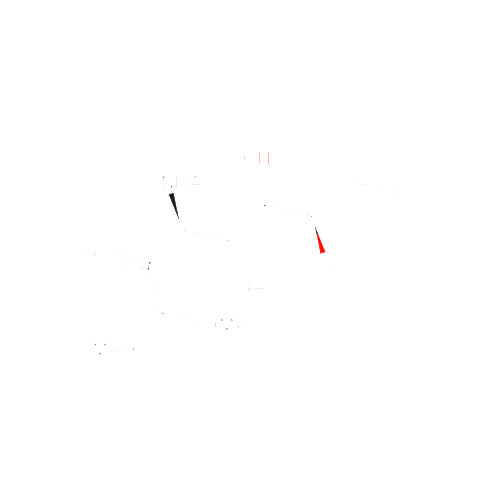 COC(OC)C(=O)[C@@H](NC(C)=O)[C@@H](O)[C@H](O)[C@H](O)CO